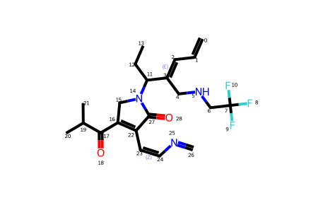 C=C/C=C(\CNCC(F)(F)F)C(CC)N1CC(C(=O)C(C)C)=C(/C=C\N=C)C1=O